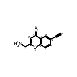 C#Cc1ccc2oc(CN)cc(=O)c2c1